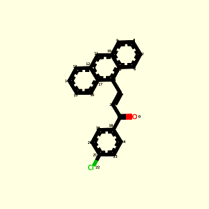 O=C(/C=C/c1c2ccccc2cc2ccccc12)c1ccc(Cl)cc1